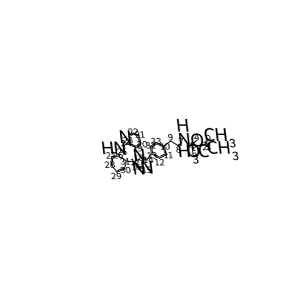 CC(C)(C)OC(=O)NCCc1ccc(-c2nnc3n2-c2cccnc2NC2C=CC=CC32)cc1